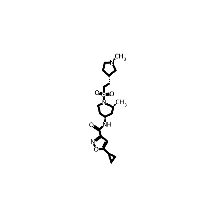 C[C@H]1C[C@@H](NC(=O)c2cc(C3CC3)on2)CCN1S(=O)(=O)CC[C@@H]1CCN(C)C1